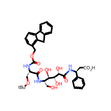 CC(C)(C)OC[C@H](NC(=O)OCc1cccc2c1Cc1ccccc1-2)C(=O)N[C@@H](CO)[C@@H](O)[C@@H](O)[C@H](O)C(=O)N[C@@H](CC(=O)O)c1ccccc1